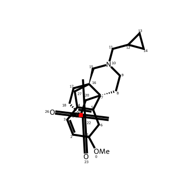 COC1C=CC2=C(C1)[C@]13CCN(CC4CC4)C[C@]1(CC[C@@]1(C3)NC(=O)NC1=O)C2